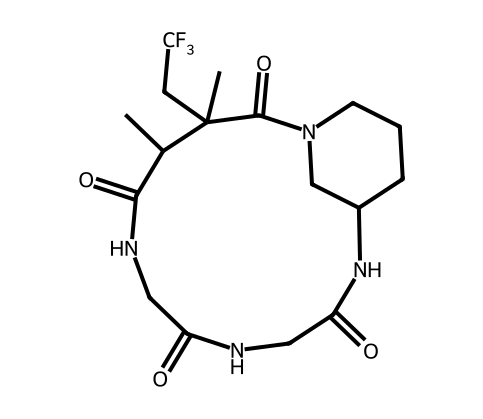 CC1C(=O)NCC(=O)NCC(=O)NC2CCCN(C2)C(=O)C1(C)CC(F)(F)F